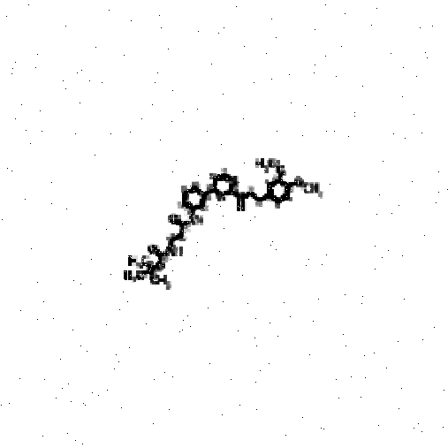 COc1ccc(CCNc2nccc(-c3cccc(NC(=O)CCNC(=O)OC(C)(C)C)c3)n2)cc1OC